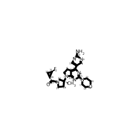 C[C@]1(N2CCc3c(-c4cnc(N)nc4)nc(N4CCOCC4)nc32)CCN(C(=O)[C@@H]2C[C@H]2F)C1